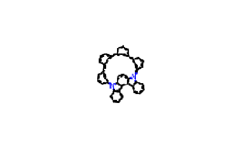 c1cc2cc(c1)c1cccc(c1)n1c3ccccc3c3c4c5ccccc5n(c5cccc(c5)c5cccc2c5)c4ccc31